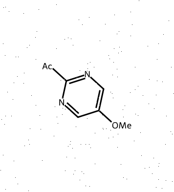 COc1cnc(C(C)=O)nc1